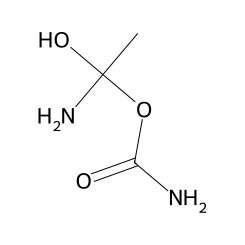 CC(N)(O)OC(N)=O